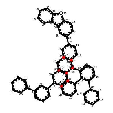 c1ccc(-c2cccc(-c3ccc(N(c4ccc(-c5ccc6oc7ccccc7c6c5)cc4)c4cccc(-c5ccccc5)c4-c4ccccc4-c4ccccc4)cc3)c2)cc1